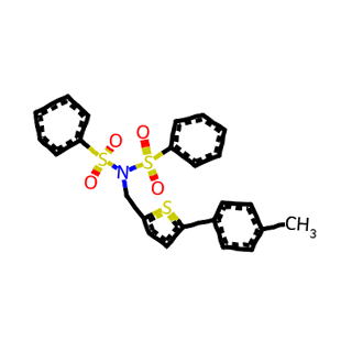 Cc1ccc(-c2ccc(CN(S(=O)(=O)c3ccccc3)S(=O)(=O)c3ccccc3)s2)cc1